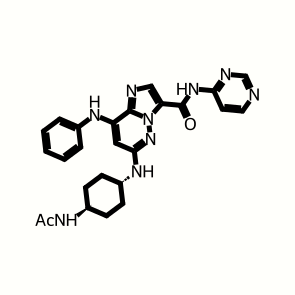 CC(=O)N[C@H]1CC[C@H](Nc2cc(Nc3ccccc3)c3ncc(C(=O)Nc4ccncn4)n3n2)CC1